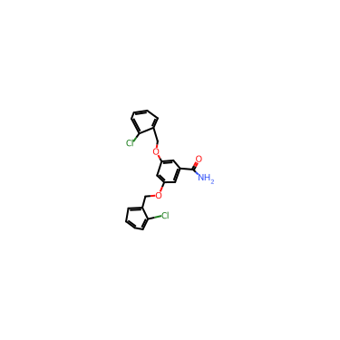 NC(=O)c1cc(OCc2ccccc2Cl)cc(OCc2ccccc2Cl)c1